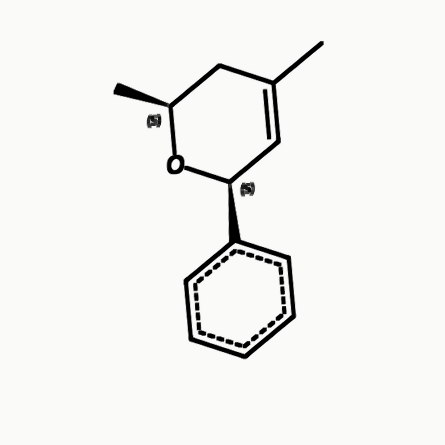 CC1=C[C@@H](c2ccccc2)O[C@@H](C)C1